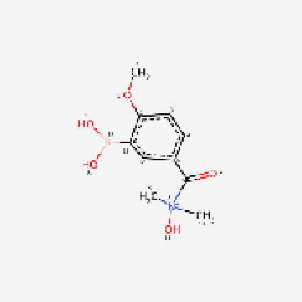 COc1ccc(C(=O)[N+](C)(C)O)cc1B(O)O